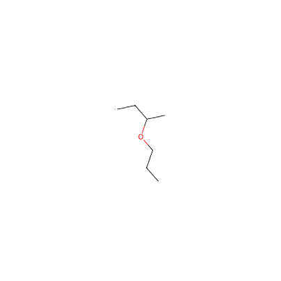 [CH2]CC(C)OCCC